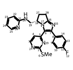 CSc1nccc(-c2c(-c3ccc(F)cc3)nc3n2[C@H](CNc2ccccn2)CC3)n1